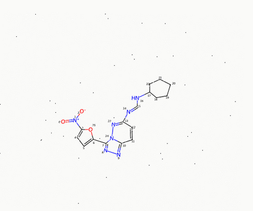 O=[N+]([O-])c1ccc(-c2nnc3ccc(N=CNC4CCCCC4)nn23)o1